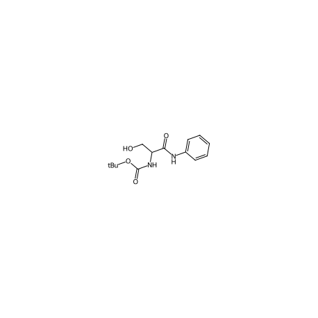 CC(C)(C)OC(=O)NC(CO)C(=O)Nc1ccccc1